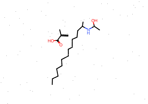 C=C(C)C(=O)O.CCCCCCCCCCCCC(C)NC(C)O